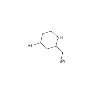 CCC1CCNC(CC(C)C)C1